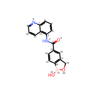 O=C(Nc1cccc2ncccc12)c1ccc2c(c1)COB2O